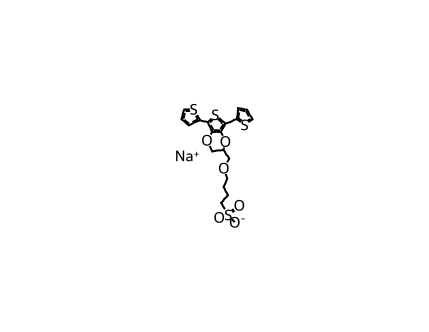 O=S(=O)([O-])CCCCOCC1COc2c(-c3cccs3)sc(-c3cccs3)c2O1.[Na+]